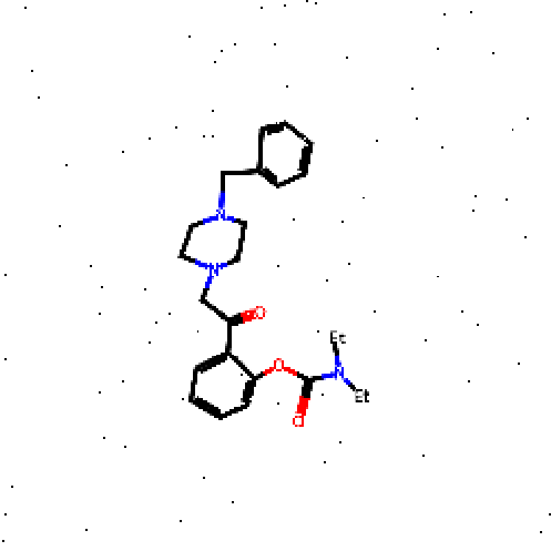 CCN(CC)C(=O)Oc1ccccc1C(=O)CN1CCN(Cc2ccccc2)CC1